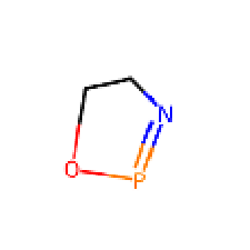 C1COP=N1